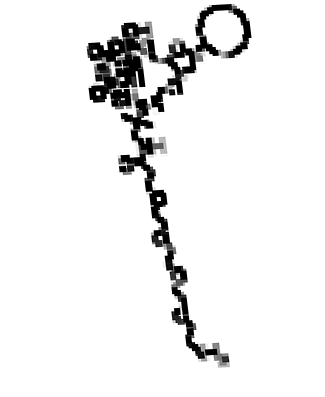 CC(C)(CNC(=O)CCOCCOCCOCCOCCN)SSCO[C@@H]1C[C@H](C2CCCCCCCCC2)OC1COP(=O)(O)OP(=O)(O)OP(=O)(O)O